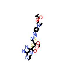 CCCCN1C(=O)C(c2sc(-c3cnc(/N=N/c4ccc(N(CC)CCOC(=O)C(C)C)cc4)s3)c3c2OCCO3)=C(C#N)C1=C(C#N)C#N